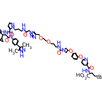 Cc1n[nH]c(C)c1-c1ccc(NC(=O)[C@@H](NC(=O)c2ccnn2CCCNC(=O)Cn2cc(COCCOCCCNC(=O)N3CC(Oc4cccc(Oc5ccc(C(=O)N[C@@H](CCC(C)(C)C)C(=O)O)cn5)c4)C3)nn2)C(C2CC2)C2CC2)cc1